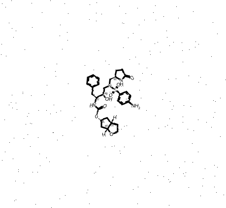 Nc1ccc(S(=O)(=O)N(C[C@H]2CCC(=O)N2)C[C@@H](O)[C@H](Cc2ccccc2)NC(=O)O[C@@H]2C[C@@H]3CCO[C@@H]3C2)cc1